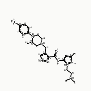 Cc1cc(NC(=O)c2n[nH]cc2CN2CCN(c3ccc(C(F)(F)F)cn3)[C@H](C)C2)n(CCN(C)C)n1